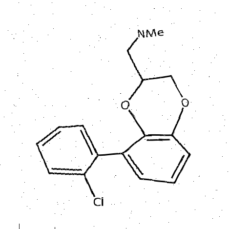 CNCC1COc2cccc(-c3ccccc3Cl)c2O1